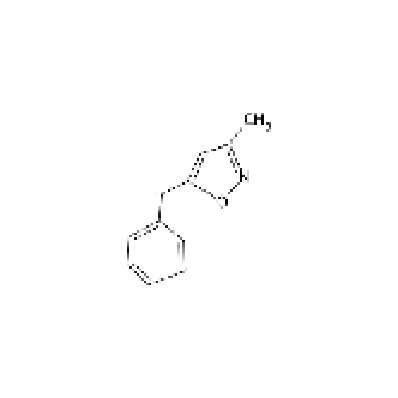 Cc1cc([CH]c2ccccc2)on1